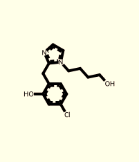 OCCCCn1ccnc1Cc1ccc(Cl)cc1O